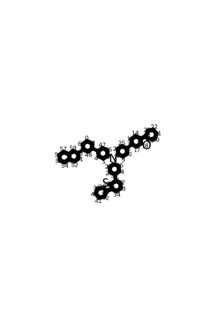 c1cc(-c2ccc(N(c3ccc(-c4ccc5c(c4)oc4ccccc45)cc3)c3ccc(-c4cccc5c4sc4ccccc45)cc3)cc2)cc(-c2ccc3ccccc3c2)c1